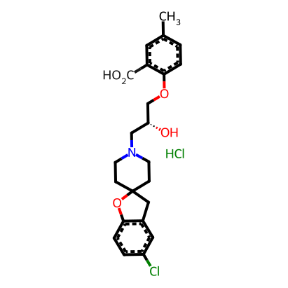 Cc1ccc(OC[C@H](O)CN2CCC3(CC2)Cc2cc(Cl)ccc2O3)c(C(=O)O)c1.Cl